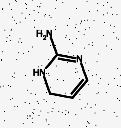 NC1=NC=CCN1